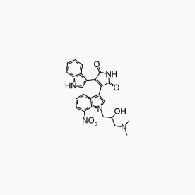 CN(C)CC(O)Cn1cc(C2=C(c3c[nH]c4ccccc34)C(=O)NC2=O)c2cccc([N+](=O)[O-])c21